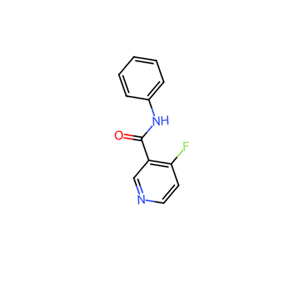 O=C(Nc1ccccc1)c1cnccc1F